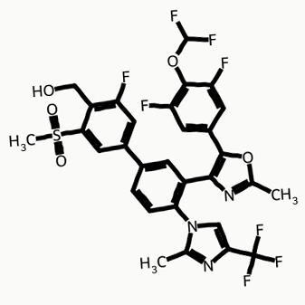 Cc1nc(-c2cc(-c3cc(F)c(CO)c(S(C)(=O)=O)c3)ccc2-n2cc(C(F)(F)F)nc2C)c(-c2cc(F)c(OC(F)F)c(F)c2)o1